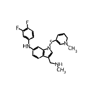 CNCc1cn(SC2=CN(C)CC=C2)c2cc(Nc3ccc(F)c(F)c3)ccc12